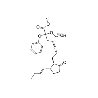 CC/C=C/[C@H]1CCC(=O)[C@@H]1CC=C=CCC(OC[16OH])(Oc1ccccc1)C(=O)OC